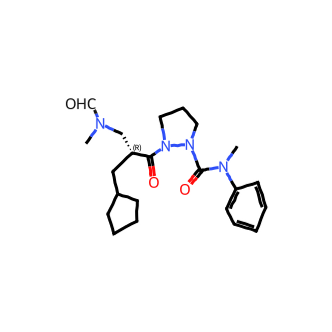 CN(C=O)C[C@@H](CC1CCCC1)C(=O)N1CCCN1C(=O)N(C)c1ccccc1